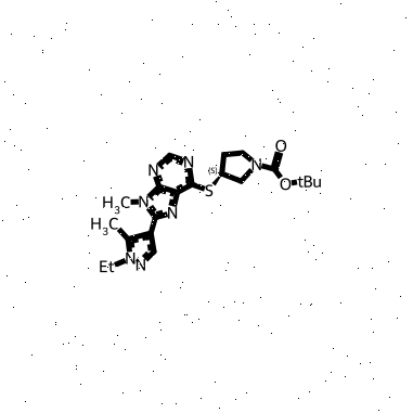 CCn1ncc(-c2nc3c(S[C@H]4CCN(C(=O)OC(C)(C)C)C4)ncnc3n2C)c1C